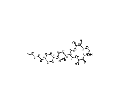 C=C(CO)C(=O)OCC(COC(=O)C(=C)COC)c1ccc(C2CCC(CCCCC)CC2)cc1